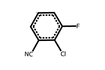 N#Cc1c[c]cc(F)c1Cl